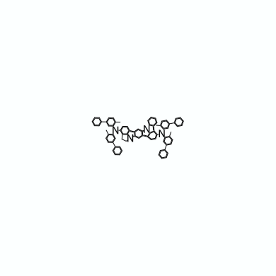 Cc1ccc(-c2ccccc2)cc1N(c1cc(-c2ccccc2)ccc1C)c1ccc2c3cc4c(cc3n3c2c1CC3)c1ccc(N(c2cc(-c3ccccc3)ccc2C)c2cc(-c3ccccc3)ccc2C)c2c3ccccc3n4c12